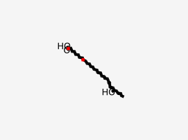 CCC=CCC(O)C=CC#CCC=CCC=CCCCCCCCCCCCCCCCC(=O)O